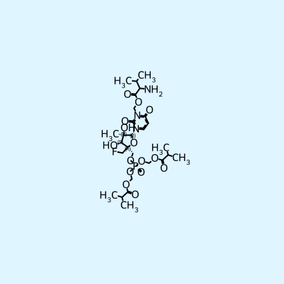 CC(C)C(=O)OCOP(=O)(OCOC(=O)C(C)C)OC[C@@]1(CF)O[C@@H](n2ccc(=O)n(COC(=O)C(N)C(C)C)c2=O)[C@](C)(O)[C@@H]1O